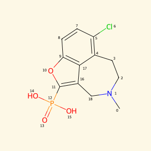 CN1CCc2c(Cl)ccc3oc(P(=O)(O)O)c(c23)C1